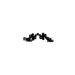 CCCCC(CC)COc1ccc(-c2c(=O)n3c4ccccc4c4c(-c5ccc(-c6cccc(-c7ccc(-c8c(=O)n9c%10ccccc%10c%10c(-c%11ccc(OCC(CC)CCCC)cc%11)c(=O)n%11c%12ccccc%12c8c%11c%109)cc7)c6)cc5)c(=O)n5c6ccccc6c2c5c43)cc1